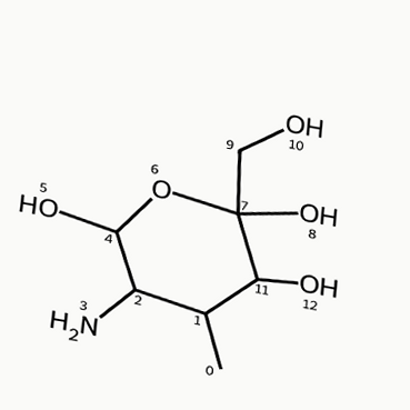 CC1C(N)C(O)OC(O)(CO)C1O